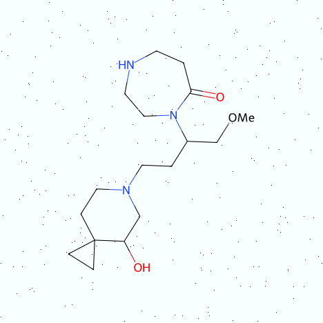 COCC(CCN1CCC2(CC2)C(O)C1)N1CCNCCC1=O